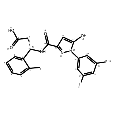 Cc1ccccc1[C@H](CC(=O)O)NC(=O)c1cc(O)n(-c2cc(F)cc(F)c2)n1